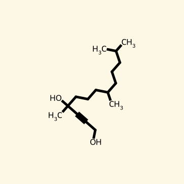 CC(C)CCCC(C)CCCC(C)(O)C#CCO